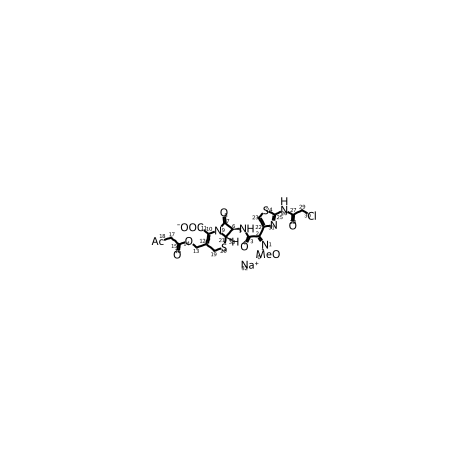 CO/N=C(\C(=O)N[C@@H]1C(=O)N2C(C(=O)[O-])=C(COC(=O)CC(C)=O)CS[C@@H]12)c1csc(NC(=O)CCl)n1.[Na+]